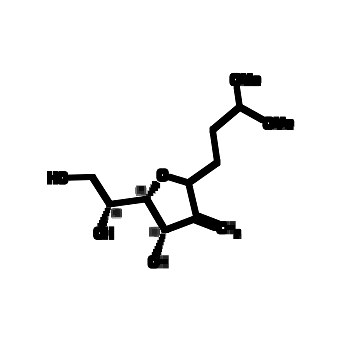 C=C1C(CCC(OC)OC)O[C@@H]([C@H](O)CO)[C@H]1O